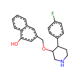 Oc1cc(COC2CNCCC2c2ccc(F)cc2)cc2ccccc12